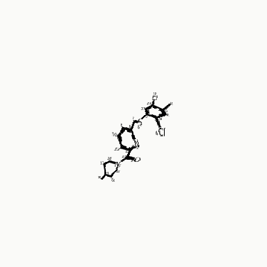 Cc1cc(Cl)c(SCc2cccc(C(=O)N3CCC(C)CC3)n2)cc1Cl